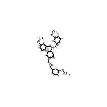 COc1cccc(COCc2ccc(N(Cc3cccc(OC)c3)Cc3cccc(OC)c3)cc2)c1